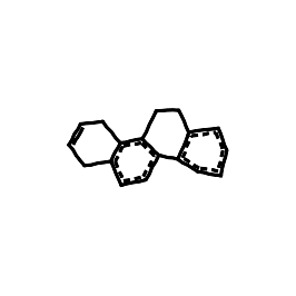 C1=CCc2c(ccc3c2CCc2ccccc2-3)C1